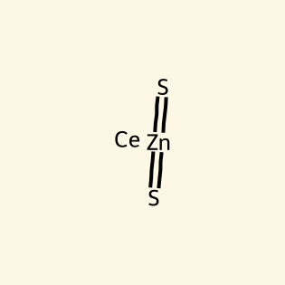 [Ce].[S]=[Zn]=[S]